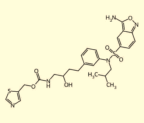 CC(C)CN(c1cccc(CCC(O)CNC(=O)OCc2cncs2)c1)S(=O)(=O)c1ccc2noc(N)c2c1